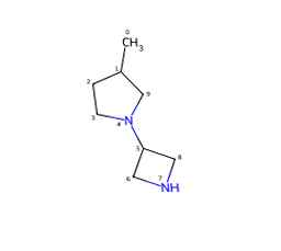 CC1CCN(C2CNC2)C1